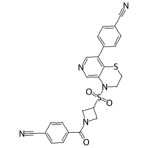 N#Cc1ccc(C(=O)N2CC(S(=O)(=O)N3CCSc4c(-c5ccc(C#N)cc5)cncc43)C2)cc1